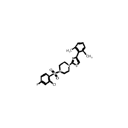 Cc1cccc(C)c1-c1csc(N2CCN(S(=O)(=O)c3ccc(F)cc3Cl)CC2)n1